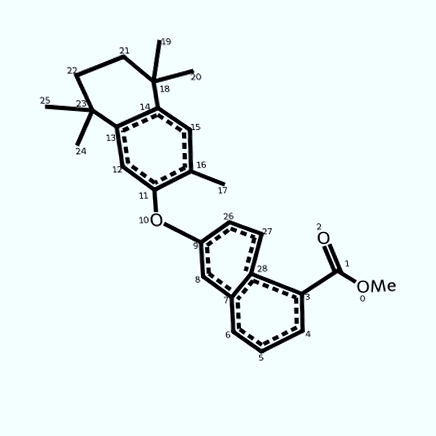 COC(=O)c1cccc2cc(Oc3cc4c(cc3C)C(C)(C)CCC4(C)C)ccc12